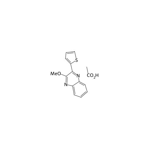 CC(=O)O.COc1nc2ccccc2nc1-c1cccs1